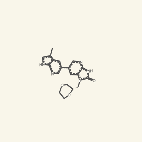 Cc1c[nH]c2ncc(-c3cnc4[nH]c(=O)n(C[C@H]5COCCO5)c4c3)cc12